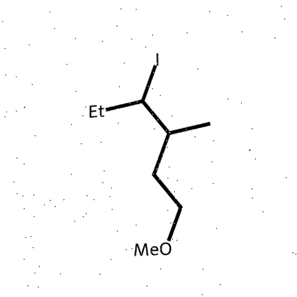 CCC(I)C(C)CCOC